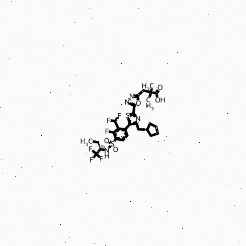 CC[C@@H](NS(=O)(=O)c1ccc(-c2sc(-c3nnc(CC(C)(C)C(=O)O)o3)nc2CC2CCCC2)c(C(F)F)c1F)C(F)(F)F